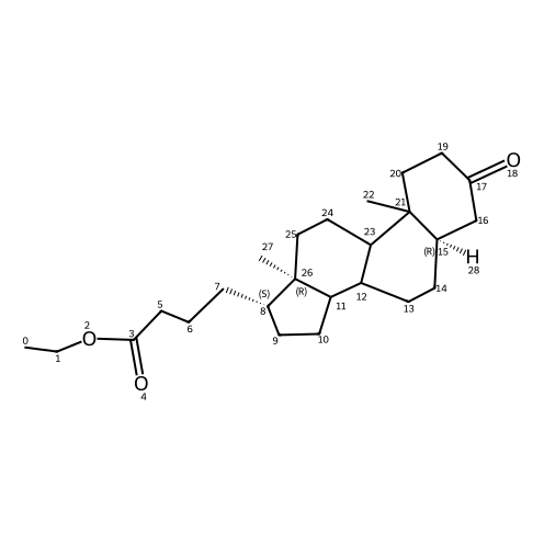 CCOC(=O)CCC[C@H]1CCC2C3CC[C@@H]4CC(=O)CCC4(C)C3CC[C@@]21C